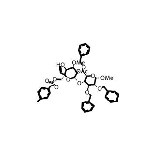 C=C[C@]1(COS(=O)(=O)c2ccc(C)cc2)O[C@@H](O[C@H]2[C@H](OCc3ccccc3)[C@@H](OCc3ccccc3)[C@@H](OC)O[C@@H]2COCc2ccccc2)[C@@H](OC(C)=O)[C@@H](OC)[C@@H]1O